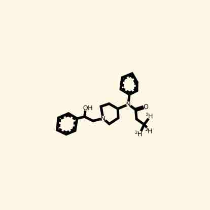 [2H]C([2H])([2H])CC(=O)N(c1ccccc1)C1CCN(CC(O)c2ccccc2)CC1